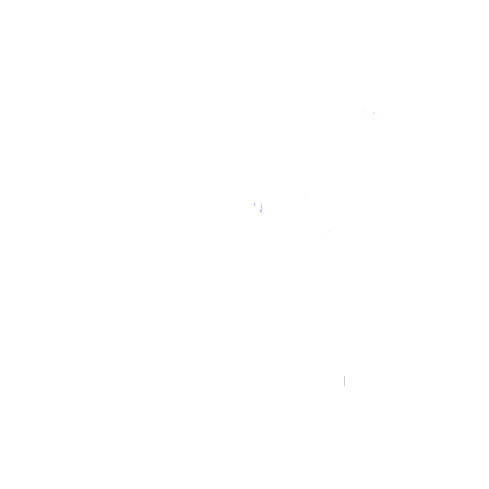 O=C(c1ccoc1)N1CCc2ccccc2[C@H]1c1ccc(C(F)(F)F)cc1